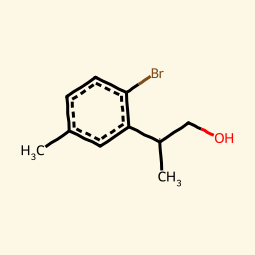 C[C](CO)c1cc(C)ccc1Br